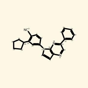 N#Cc1ccc(-n2ccc3ncc(-c4ccccc4)nc32)cc1C1CCCC1